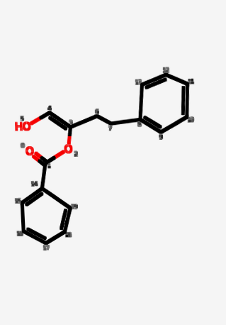 O=C(OC(=CO)CCc1ccccc1)c1ccccc1